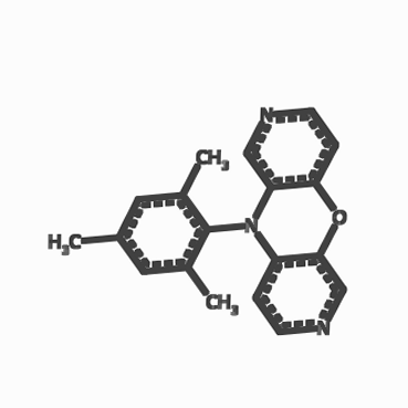 Cc1cc(C)c(N2c3ccncc3Oc3ccncc32)c(C)c1